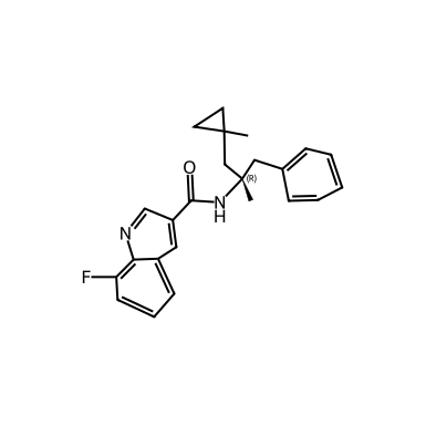 CC1(C[C@](C)(Cc2ccccc2)NC(=O)c2cnc3c(F)cccc3c2)CC1